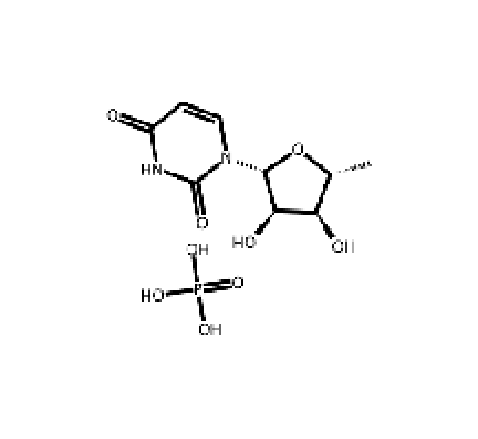 C[C@H]1O[C@@H](n2ccc(=O)[nH]c2=O)[C@H](O)[C@@H]1O.O=P(O)(O)O